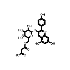 O=C(O)CC(=O)OCC1O[C@@H](Oc2cc3c(O)cc(O)cc3[o+]c2-c2ccc(O)cc2)C(O)C(O)[C@@H]1O